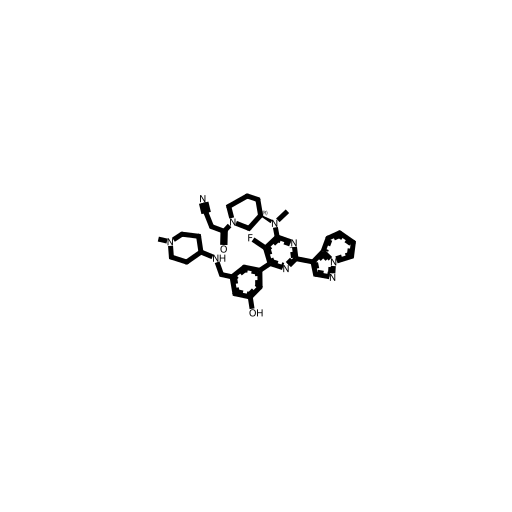 CN1CCC(NCc2cc(O)cc(-c3nc(-c4cnn5ccccc45)nc(N(C)[C@@H]4CCCN(C(=O)CC#N)C4)c3F)c2)CC1